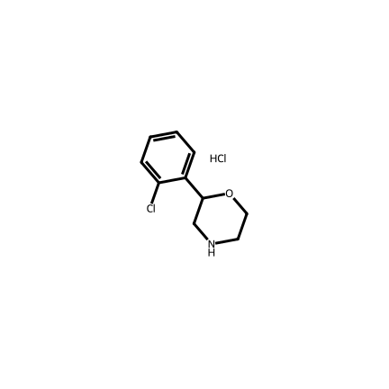 Cl.Clc1ccccc1C1CNCCO1